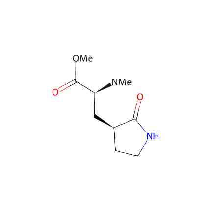 CN[C@@H](C[C@@H]1CCNC1=O)C(=O)OC